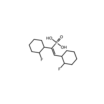 O=P(O)(O)C(=CC1CCCCC1F)C1CCCCC1F